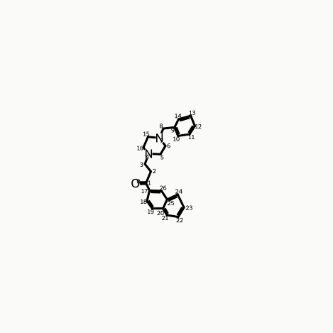 O=C(CCN1CCN(Cc2ccccc2)CC1)c1ccc2ccccc2c1